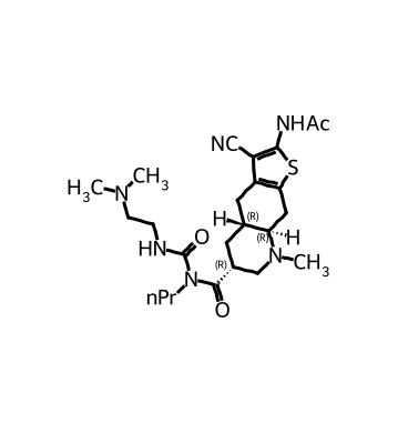 CCCN(C(=O)NCCN(C)C)C(=O)[C@@H]1C[C@@H]2Cc3c(sc(NC(C)=O)c3C#N)C[C@H]2N(C)C1